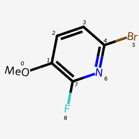 COc1ccc(Br)nc1F